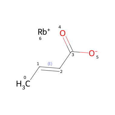 C/C=C/C(=O)[O-].[Rb+]